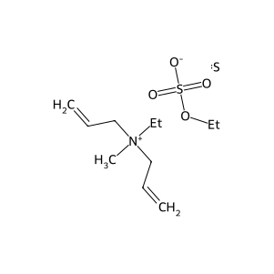 C=CC[N+](C)(CC)CC=C.CCOS(=O)(=O)[O-].[S]